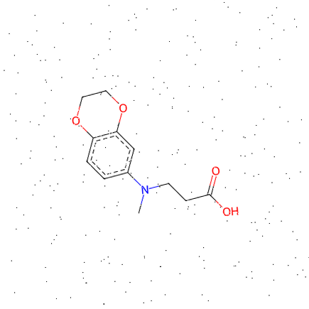 CN(CCC(=O)O)c1ccc2c(c1)OCCO2